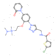 CN(C)[N+](C)(C)CCOc1cc(-n2ccccc2=O)ccc1-n1cc(CNC(=O)c2ccc(Cl)s2)nn1